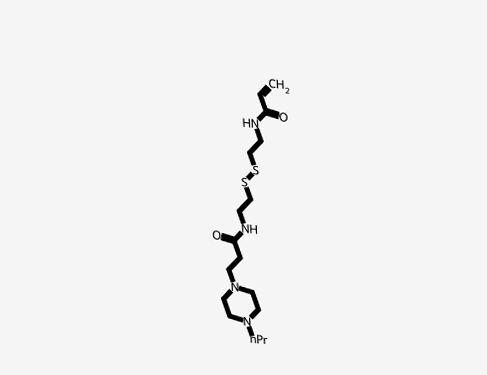 C=CC(=O)NCCSSCCNC(=O)CCN1CCN(CCC)CC1